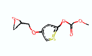 COC(=O)Oc1cc(OCC2CO2)cs1